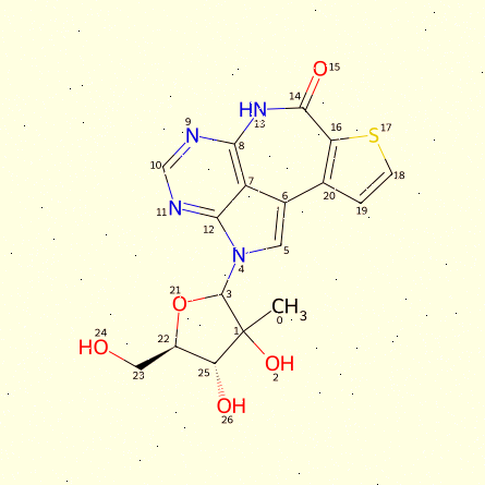 CC1(O)C(n2cc3c4c(ncnc42)NC(=O)c2sccc2-3)O[C@H](CO)[C@H]1O